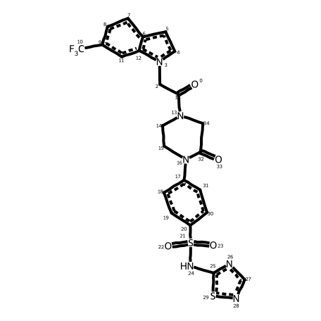 O=C(Cn1ccc2ccc(C(F)(F)F)cc21)N1CCN(c2ccc(S(=O)(=O)Nc3ncns3)cc2)C(=O)C1